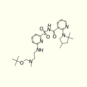 CC1CN(c2ncccc2C(=O)NS(=O)(=O)c2cccc(NCCN(C)COC(C)(C)C)n2)C(C)(C)C1